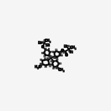 CCC(C)(CC)Oc1ccc(C(c2ccc(C)cc2)(c2ccc(C)cc2)c2ccc(OC(=O)C(C)(CC)CC)cc2)cc1